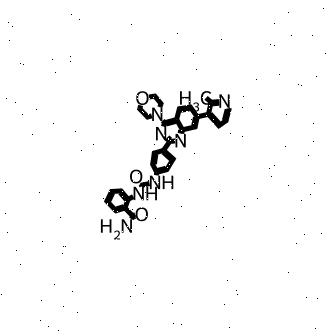 Cc1ncccc1-c1ccc2c(N3CCOCC3)nc(-c3ccc(NC(=O)Nc4ccccc4C(N)=O)cc3)nc2c1